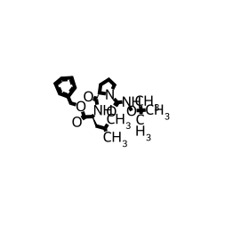 CC(C)C[C@H](NC(=O)[C@@H]1CCCN1C(=O)NOC(C)(C)C)C(=O)OCc1ccccc1